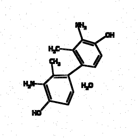 Cc1c(-c2ccc(O)c(N)c2C)ccc(O)c1N.O